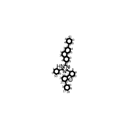 c1ccc(C2=NC(c3cccc4oc5c(-c6ccccc6)cccc5c34)=NC(c3ccc4c(ccc5cc(-c6ccccc6)ccc54)c3)N2)cc1